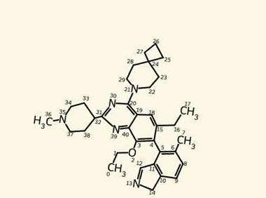 CCOc1c(-c2c(C)ccc3c2C=NC3)c(CC)cc2c(N3CCC4(CCC4)CC3)nc(C3CCN(C)CC3)nc12